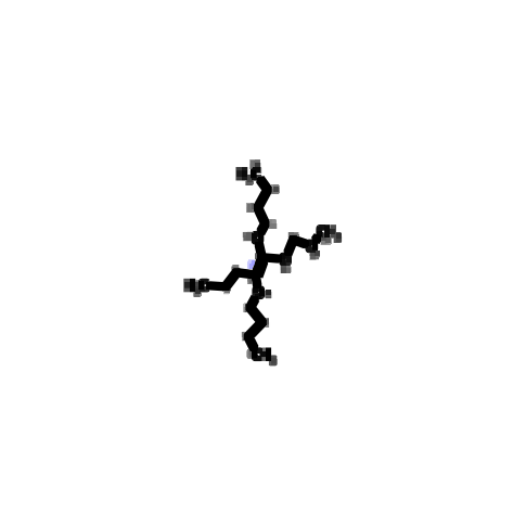 CCCCO/C(CCC)=C(/OCCCC)OCOC